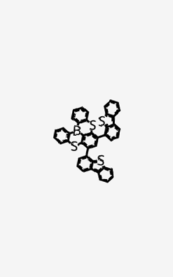 c1ccc2c(c1)Sc1c(-c3cccc4c3sc3ccccc34)cc(-c3cccc4c3sc3ccccc34)c3c1B2c1ccccc1S3